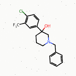 OC1(c2ccc(Cl)c(C(F)(F)F)c2)CCCN(Cc2ccccc2)C1